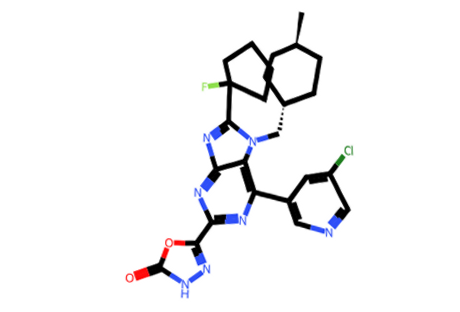 C[C@H]1CC[C@H](Cn2c(C3(F)CCCC3)nc3nc(-c4n[nH]c(=O)o4)nc(-c4cncc(Cl)c4)c32)CC1